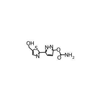 NC(=O)Oc1ccc(-c2ncc(CO)s2)nn1